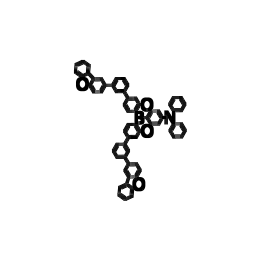 c1ccc(N(c2ccccc2)c2cc3c4c(c2)Oc2cc(-c5cccc(-c6ccc7oc8ccccc8c7c6)c5)ccc2B4c2ccc(-c4cccc(-c5ccc6oc7ccccc7c6c5)c4)cc2O3)cc1